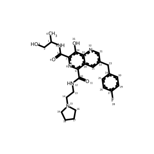 CC(CO)NC(=O)c1nc(C(=O)NCCN2CCCC2)c2cc(Cc3ccc(F)cc3)cnc2c1O